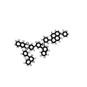 c1ccc(-c2ccc3ccc4c(-c5cccc(-n6c7ccc(-c8ccc9c(c8)Oc8cc%10ccccc%10cc8N9c8cccc(-c9cccc%10ccccc9%10)c8)cc7c7c8ccccc8ccc76)c5)ccc5ccc2c3c54)cc1